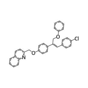 Clc1ccc(/C=C(\COc2ccccc2)c2ccc(OCc3ccc4ccccc4n3)cc2)cc1